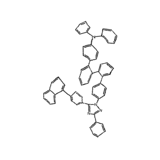 c1ccc(-c2nc(-c3ccc(-c4cccc5ccccc45)cc3)n(-c3ccc(-c4ccccc4-c4ccccc4-c4ccc(N(c5ccccc5)c5ccccc5)cc4)cc3)n2)cc1